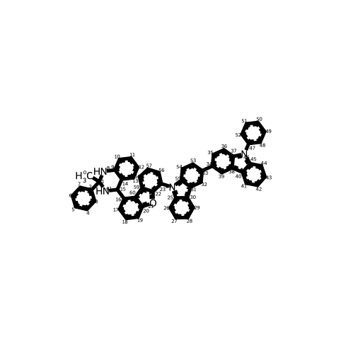 CC1(c2ccccc2)Nc2ccccc2C(c2cccc3oc4c(-n5c6ccccc6c6cc(-c7ccc8c(c7)c7ccccc7n8-c7ccccc7)ccc65)cccc4c23)N1